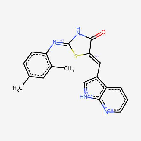 Cc1ccc(/N=C2/NC(=O)/C(=C/c3c[nH]c4ncccc34)S2)c(C)c1